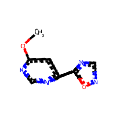 COc1cc(-c2ncno2)ncn1